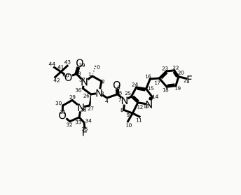 C[C@@H]1CN(CC(=O)N2CC(C)(C)c3ncc(Cc4ccc(F)cc4)cc32)[C@@H](CN2CCOCC2CF)CN1C(=O)OC(C)(C)C